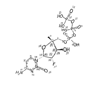 C[C@]1(COP(=O)(O)OP(=O)(O)OP(=O)(O)O)O[C@@H](n2ccc(N)nc2=O)[C@@H](F)[C@@H]1O